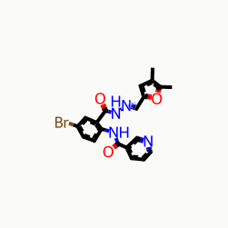 Cc1cc(/C=N/NC(=O)c2cc(Br)ccc2NC(=O)c2cccnc2)oc1C